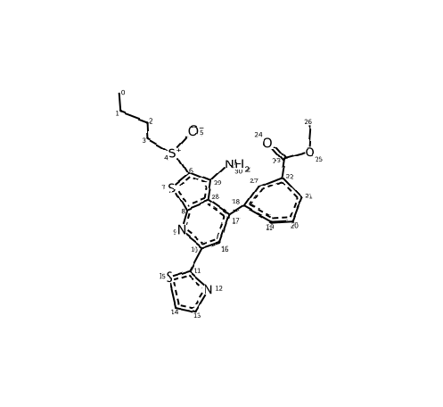 CCCC[S+]([O-])c1sc2nc(-c3nccs3)cc(-c3cccc(C(=O)OC)c3)c2c1N